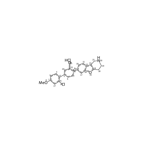 COc1ccc(-c2ccn(-c3ccc4c5c(oc4c3)CCNC5)c(=O)c2)c(Cl)c1.Cl